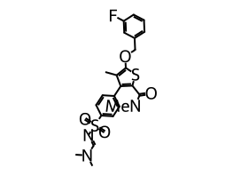 CNC(=O)c1sc(OCc2cccc(F)c2)c(C)c1-c1ccc(S(=O)(=O)N=CN(C)C)cc1